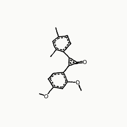 COc1ccc(-c2c(-c3ccc(C)cc3C)c2=O)c(OC)c1